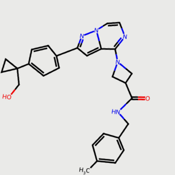 Cc1ccc(CNC(=O)C2CN(c3nccn4nc(-c5ccc(C6(CO)CC6)cc5)cc34)C2)cc1